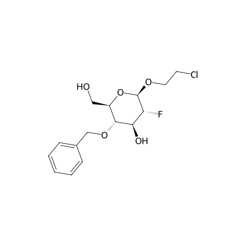 OC[C@H]1O[C@@H](OCCCl)[C@H](F)[C@@H](O)[C@@H]1OCc1ccccc1